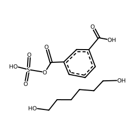 O=C(O)c1cccc(C(=O)OS(=O)(=O)O)c1.OCCCCCCO